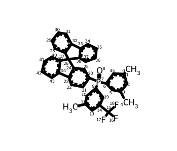 Cc1cc(C)cc(P(=O)(c2cc(C)cc(C(F)(F)F)c2)c2ccc3c(c2)C2(c4ccccc4-c4ccccc42)c2ccccc2-3)c1